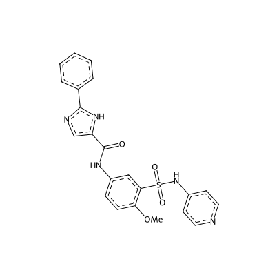 COc1ccc(NC(=O)c2cnc(-c3ccccc3)[nH]2)cc1S(=O)(=O)Nc1ccncc1